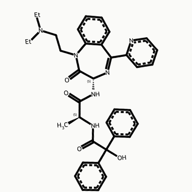 CCN(CC)CCN1C(=O)[C@@H](NC(=O)[C@H](C)NC(=O)C(O)(c2ccccc2)c2ccccc2)N=C(c2ccccn2)c2ccccc21